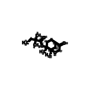 CCC(C)(C)C(=O)OC1(C)CCC2CC1(C)OCC2=O